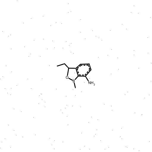 CCC1OB(C)c2c(N)cccc21